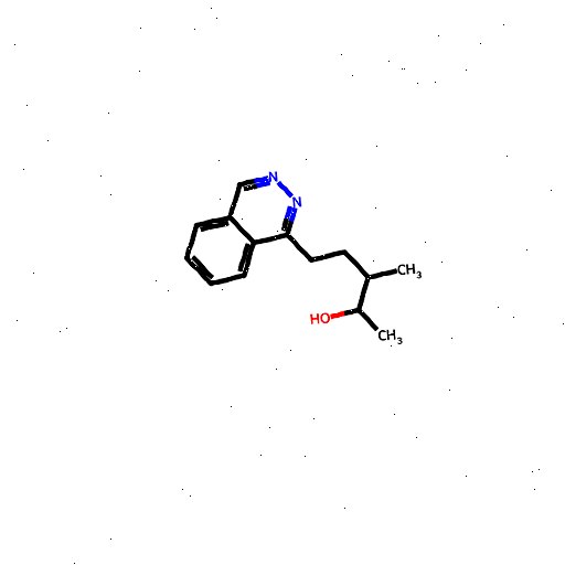 CC(O)C(C)CCc1nncc2ccccc12